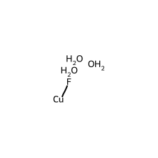 O.O.O.[F][Cu]